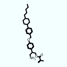 C=C(C)C(=O)OCC(CN)c1ccc(OCc2ccc(C3CCC(CCCCC)CC3)cc2)cc1